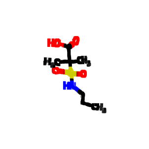 CCCNS(=O)(=O)C(C)(C)C(=O)O